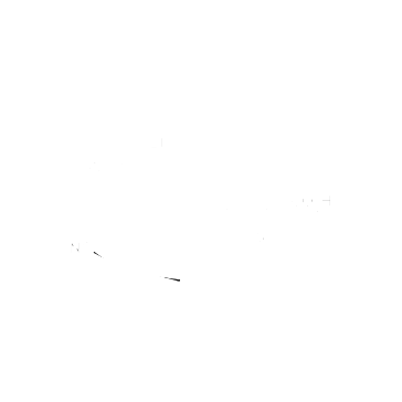 CCC1(C(O)C/C=C/[C@@H]2[C@@H](CCCc3ccc(C(=O)O)s3)CC[C@H]2C#N)CCC1